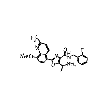 COc1ccc(-c2nc(C(=O)NCc3ccccc3F)c([C@H](C)N)o2)c2ccc(C(F)(F)F)nc12